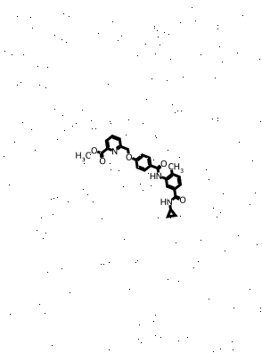 COC(=O)c1cccc(COc2ccc(C(=O)Nc3cc(C(=O)NC4CC4)ccc3C)cc2)n1